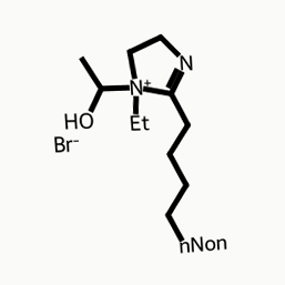 CCCCCCCCCCCCCC1=NCC[N+]1(CC)C(C)O.[Br-]